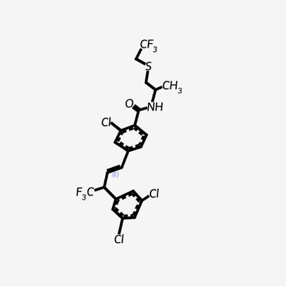 CC(CSCC(F)(F)F)NC(=O)c1ccc(/C=C/C(c2cc(Cl)cc(Cl)c2)C(F)(F)F)cc1Cl